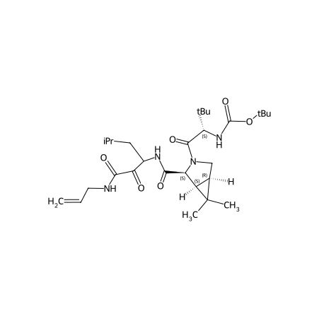 C=CCNC(=O)C(=O)C(CC(C)C)NC(=O)[C@@H]1[C@H]2[C@@H](CN1C(=O)[C@@H](NC(=O)OC(C)(C)C)C(C)(C)C)C2(C)C